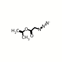 C=C(C)OC(=O)CN=[N+]=[N-]